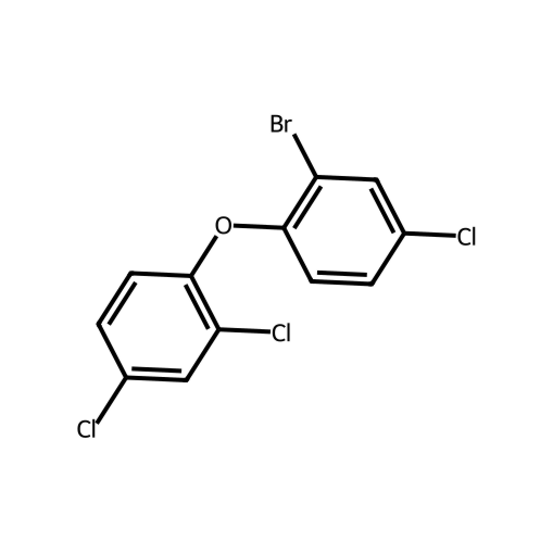 Clc1ccc(Oc2ccc(Cl)cc2Br)c(Cl)c1